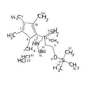 CC1=C(C)C(C)[C]([Ti]([CH3])(=[SiH2])([CH2]CO[Si](C)(C)C)[NH]C(C)(C)C)=C1C.Cl.Cl